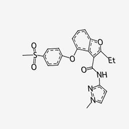 CCc1oc2cccc(Oc3ccc(S(C)(=O)=O)cc3)c2c1C(=O)Nc1ccn(C)n1